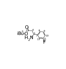 CCC(C)OC(=O)CC(N)c1cccc(F)c1